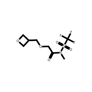 CN(C(=O)COCC1COC1)S(=O)(=O)C(F)(F)F